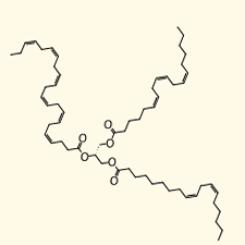 CC/C=C\C/C=C\C/C=C\C/C=C\C/C=C\C/C=C\CCC(=O)O[C@H](COC(=O)CCCC/C=C\C/C=C\C/C=C\CCCCC)COC(=O)CCCCCCC/C=C\C/C=C\CCCCC